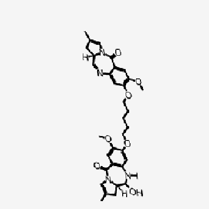 COc1cc2c(cc1OCCCCCOc1cc3c(cc1OC)C(=O)N1C=C(C)C[C@H]1C(O)N3I)N=C[C@@H]1CC(C)=CN1C2=O